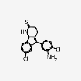 Nc1cc(C2=C3CCC(=S)NC3c3ccc(Cl)cc32)ccc1Cl